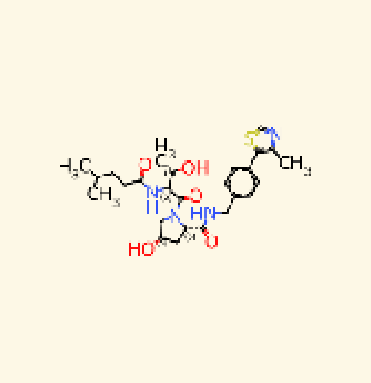 Cc1ncsc1-c1ccc(CNC(=O)[C@@H]2C[C@@H](O)CN2C(=O)[C@@H](NC(=O)CCC(C)C)[C@H](C)O)cc1